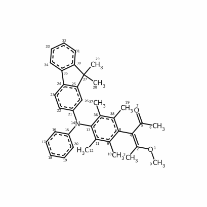 CO/C(C)=C(\C(C)=O)c1c(C)c(C)c(N(c2ccccc2)c2ccc3c(c2)C(C)(C)c2ccccc2-3)c(C)c1C